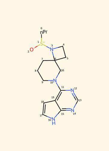 CCC[S+]([O-])N1CCC12CCCN(c1ncnc3[nH]ccc13)C2